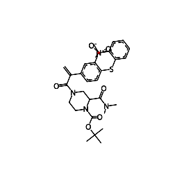 C=C(C(=O)N1CCN(C(=O)OC(C)(C)C)C(C(=O)N(C)C)C1)c1ccc(Sc2ccccc2C(C)C)c([N+](=O)[O-])c1